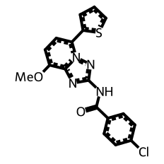 COc1ccc(-c2cccs2)n2nc(NC(=O)c3ccc(Cl)cc3)nc12